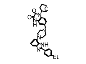 CCc1ccc(-c2nc3cccc(N4CCN(Cc5ccc6c(c5)[nH]c(=O)c(=O)n6C5CCCCC5)CC4)c3[nH]2)cc1